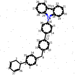 C1=CCC(c2ccc(Cc3ccc(-c4ccc(-n5c6ccccc6c6ccccc65)cc4)cc3)cc2)C=C1